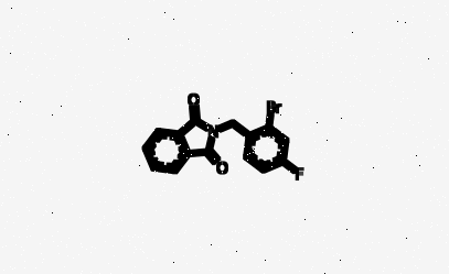 O=C1c2ccccc2C(=O)N1Cc1ccc(F)cc1Br